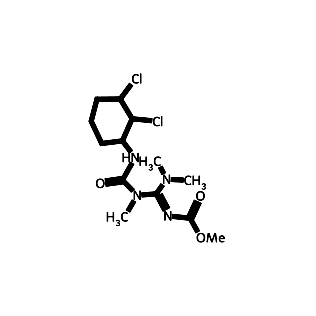 COC(=O)N=C(N(C)C)N(C)C(=O)NC1CCCC(Cl)C1Cl